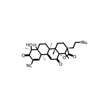 CC1[C@]2(CCC(C)(C)C)CC[C@@]3(C)[C@]4(C)CC[C@H]5[C@](C)(O)C(=O)C(C#N)=C[C@]5(C)C4=CC(=O)[C@]13OC2=O